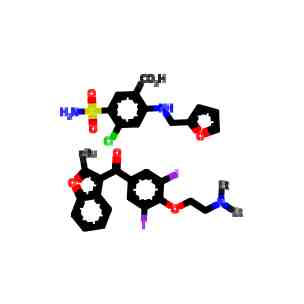 CCCCc1oc2ccccc2c1C(=O)c1cc(I)c(OCCN(CC)CC)c(I)c1.NS(=O)(=O)c1cc(C(=O)O)c(NCc2ccco2)cc1Cl